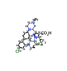 CC(C)N1CCN(c2ccc(-c3ccc(Cl)cc3N3CCCC(n4ncc(C(=O)O)c4C(F)(F)F)C3)cc2)CC1.Cl